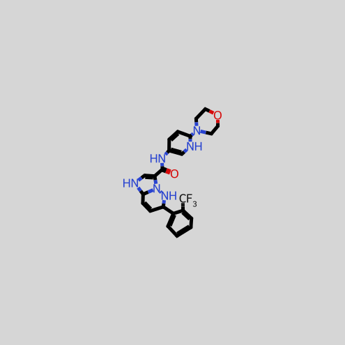 O=C(NC1=CNC(N2CCOCC2)C=C1)C1=CNC2C=CC(c3ccccc3C(F)(F)F)NN12